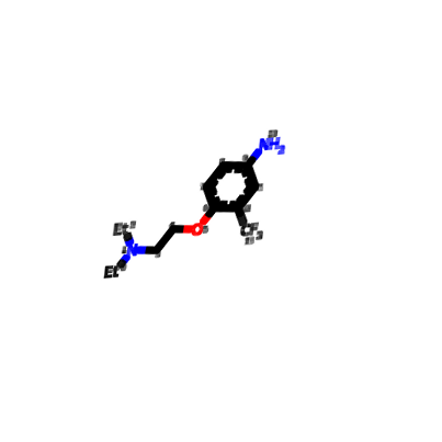 CCN(CC)CCOc1ccc(N)cc1C(F)(F)F